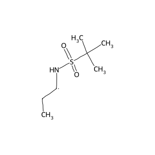 CC[CH]NS(=O)(=O)C(C)(C)C